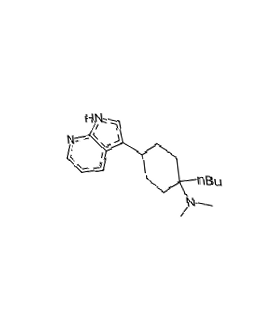 CCCCC1(N(C)C)CCC(c2c[nH]c3ncccc23)CC1